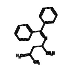 C=C(C)CC(N=C(c1ccccc1)c1ccccc1)C(=O)O